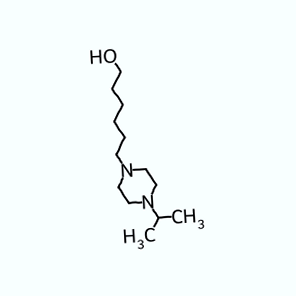 CC(C)N1CCN(CCCCCCO)CC1